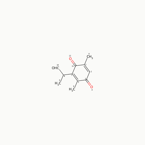 CC1=CC(=O)C(C)=C(C(C)C=O)C1=O